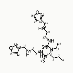 CCCN(C(=S)NCCNCc1ccon1)N(CC)C(=S)NCCNCc1ccon1